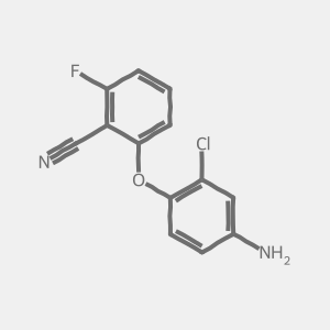 N#Cc1c(F)cccc1Oc1ccc(N)cc1Cl